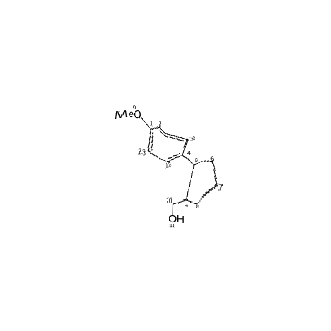 COc1ccc(C2CCCC2CO)cc1